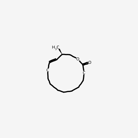 C[C@@H]1/C=C/CCCCCCCCCC(=O)OC1